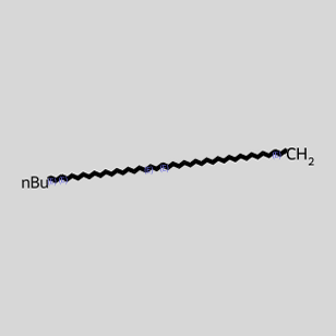 C=C/C=C/CCCCCCCCCCCCCCCCCC/C=C/C/C=C/CCCCCCCCCCCCC/C=C/C=C/CCCC